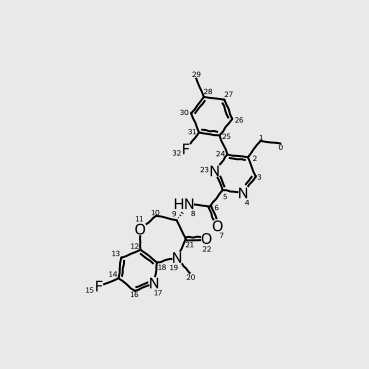 CCc1cnc(C(=O)N[C@H]2COc3cc(F)cnc3N(C)C2=O)nc1-c1ccc(C)cc1F